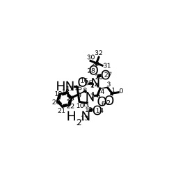 CC(=O)C[C@@H](C(=O)N1C[C@]2(C[C@H]1C(N)=O)C(=O)Nc1ccccc12)N(C)C(=O)OC(C)(C)C